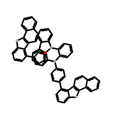 c1ccc(-n2c3ccccc3c3ccccc32)c(N(c2ccc(-c3cccc4oc5c6ccccc6ccc5c34)cc2)c2ccc(-c3cccc4oc5c6ccccc6ccc5c34)cc2)c1